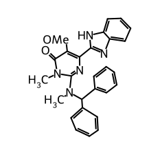 COc1c(-c2nc3ccccc3[nH]2)nc(N(C)C(c2ccccc2)c2ccccc2)n(C)c1=O